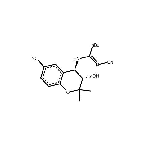 CCCCC(=NC#N)N[C@@H]1c2cc(C#N)ccc2OC(C)(C)[C@H]1O